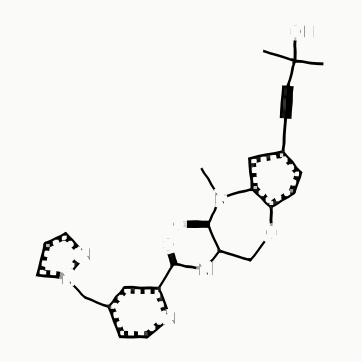 CN1C(=O)C(NC(=O)c2cc(Cn3cccn3)ccn2)COc2ccc(C#CC(C)(C)O)cc21